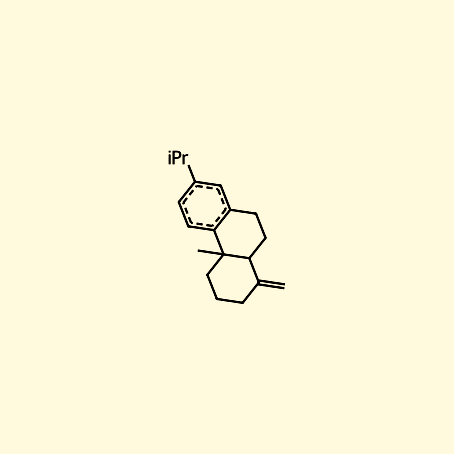 C=C1CCCC2(C)c3ccc(C(C)C)cc3CCC12